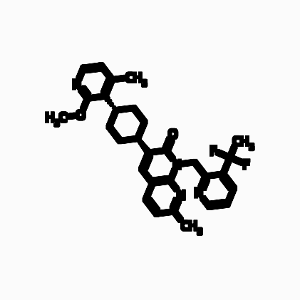 COc1nccc(C)c1[C@H]1CC[C@H](c2cc3ccc(C)nc3n(Cc3ncccc3C(C)(F)F)c2=O)CC1